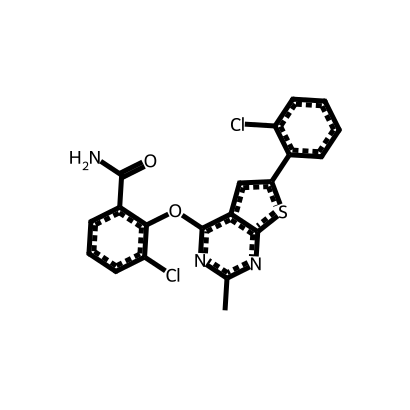 Cc1nc(Oc2c(Cl)cccc2C(N)=O)c2cc(-c3ccccc3Cl)sc2n1